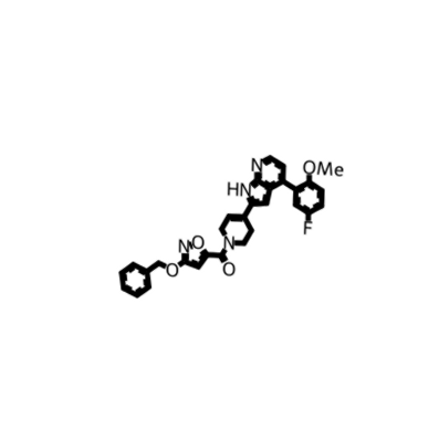 COc1ccc(F)cc1-c1ccnc2[nH]c(C3=CCN(C(=O)c4cc(OCc5ccccc5)no4)CC3)cc12